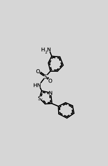 Nc1cccc(S(=O)(=O)Nc2nc(-c3ccccc3)cs2)c1